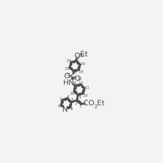 CCOC(=O)/C=C(/c1cccnc1)c1cccc(NS(=O)(=O)c2ccc(OCC)cc2)c1